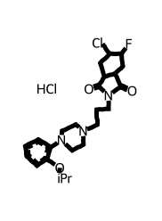 CC(C)Oc1ccccc1N1CCN(CCCN2C(=O)C3CC(F)C(Cl)CC3C2=O)CC1.Cl